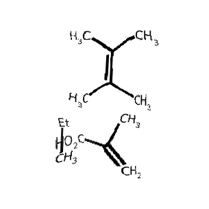 C=C(C)C(=O)O.CC(C)=C(C)C.CCC